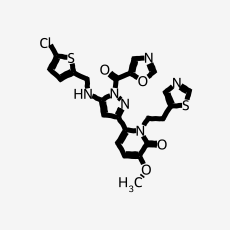 COc1ccc(-c2cc(NCc3ccc(Cl)s3)n(C(=O)c3cnco3)n2)n(CCc2cncs2)c1=O